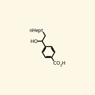 CCCCCCCCC(O)c1ccc(C(=O)O)cc1